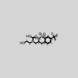 O=C(O)N(CCO)CC1Cc2ccc(C(F)(F)F)cc2S(=O)(=O)N1